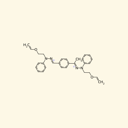 C=COCCN(/N=C/c1ccc(/C(C)=N/N(CCOC=C)c2ccccc2)cc1)c1ccccc1